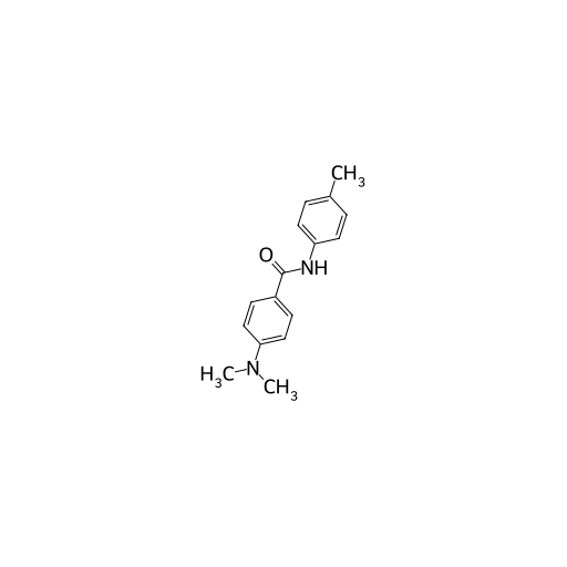 Cc1ccc(NC(=O)c2ccc(N(C)C)cc2)cc1